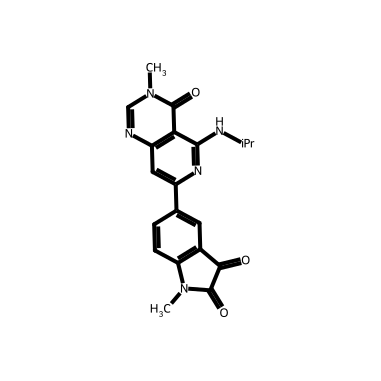 CC(C)Nc1nc(-c2ccc3c(c2)C(=O)C(=O)N3C)cc2ncn(C)c(=O)c12